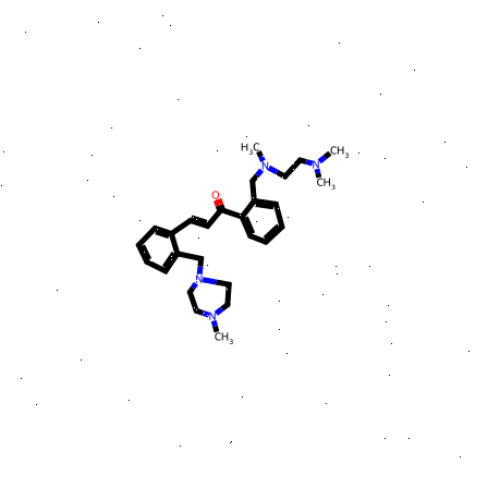 CN(C)CCN(C)Cc1ccccc1C(=O)/C=C/c1ccccc1CN1CCN(C)CC1